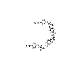 COc1ccc(CCOC(=O)Oc2ccc(CCOC(=O)Oc3ccc(CCOC(=O)OCCc4ccc(OC(C)=O)cc4)cc3)cc2)cc1